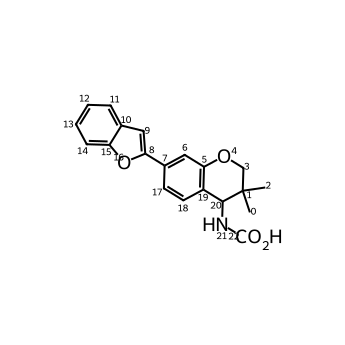 CC1(C)COc2cc(-c3cc4ccccc4o3)ccc2C1NC(=O)O